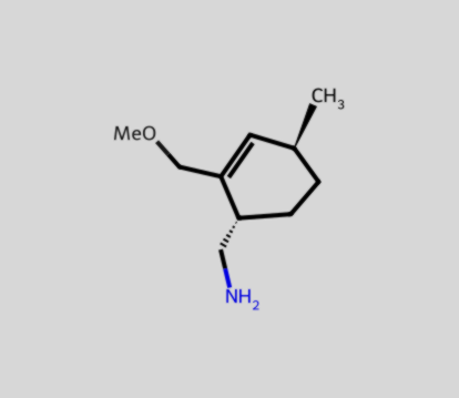 COCC1=C[C@@H](C)CC[C@@H]1CN